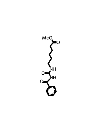 COC(=O)CCCCCNC(=O)NC(=O)c1ccccc1